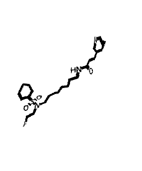 O=C(/C=C/c1cccnc1)NCCCCCCCN(CCF)S(=O)(=O)C1CCCCC1